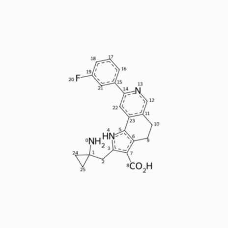 NC1(Cc2[nH]c3c(c2C(=O)O)CCc2cnc(-c4cccc(F)c4)cc2-3)CC1